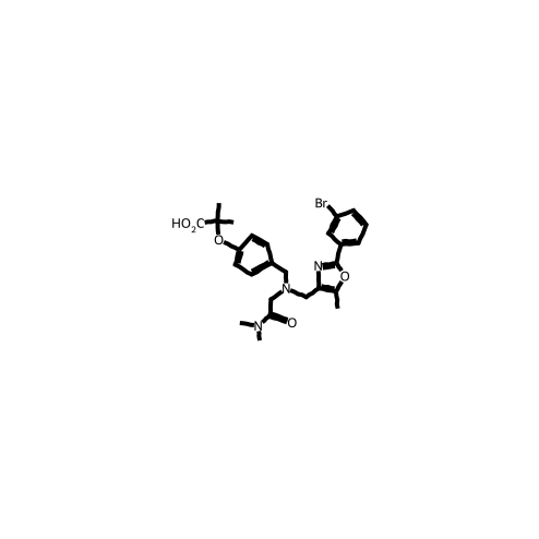 Cc1oc(-c2cccc(Br)c2)nc1CN(CC(=O)N(C)C)Cc1ccc(OC(C)(C)C(=O)O)cc1